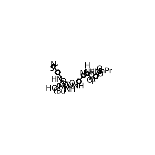 CCCS(=O)(=O)Nc1ccc(F)c(C(=O)c2c[nH]c3ncc(-c4ccc(NC(=O)CC(=O)N[C@H](C(=O)N5C[C@H](O)C[C@H]5C(=O)NCc5ccc(-c6scnc6C)cc5)C(C)(C)C)cc4)cc23)c1F